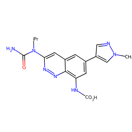 CC(C)N(C(N)=O)c1cc2cc(-c3cnn(C)c3)cc(NC(=O)O)c2nn1